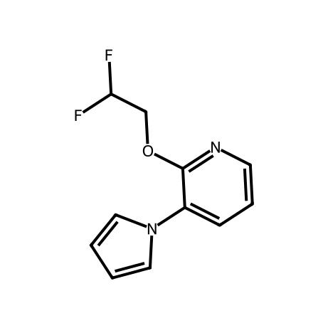 FC(F)COc1ncccc1-n1cccc1